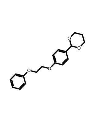 c1ccc(OCCOc2ccc(C3OCCCO3)cc2)cc1